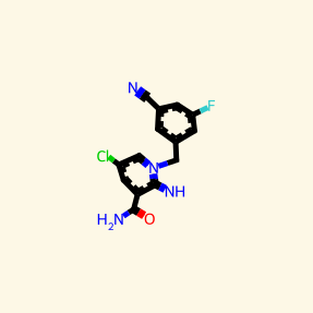 N#Cc1cc(F)cc(Cn2cc(Cl)cc(C(N)=O)c2=N)c1